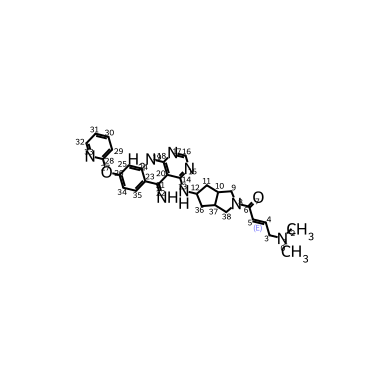 CN(C)C/C=C/C(=O)N1CC2CC(Nc3ncnc(N)c3C(=N)c3ccc(Oc4ccccn4)cc3)CC2C1